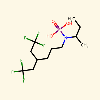 CCC(C)N(CCCC(CC(F)(F)F)CC(F)(F)F)P(=O)(O)O